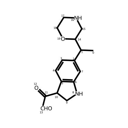 CC(c1ccc2c(c1)NCC2C(=O)C=O)C1CNCCO1